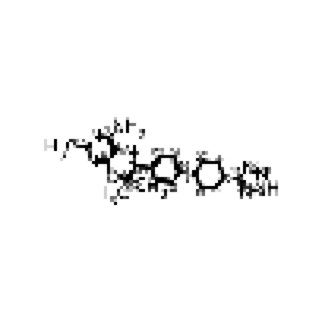 Cc1nc(N)c2c(n1)OC(C)(C)C(c1ccc([C@H]3CC[C@H](c4nn[nH]n4)CC3)cc1)=N2